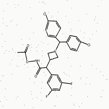 CC(=O)ONC(=O)C(c1cc(F)cc(F)c1)C1CN(C(c2ccc(Cl)cc2)c2ccc(Cl)cc2)C1